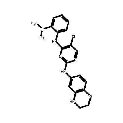 CP(C)c1ccccc1Nc1nc(Nc2ccc3c(c2)NCCO3)ncc1Cl